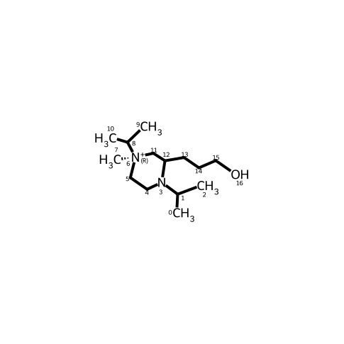 CC(C)N1CC[N@@+](C)(C(C)C)CC1CCCO